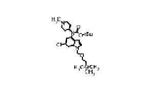 CN1CCC(N(C(=O)OC(C)(C)C)c2cc(Cl)cc3c2ccn3COCC[Si](C)(C)C)CC1